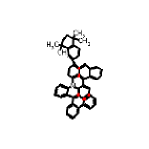 CC1(C)CCC(C)(C)c2cc(-c3ccc(N(c4ccccc4-c4cccc5ccccc45)c4ccccc4-c4cc5ccccc5c5ccccc45)cc3)ccc21